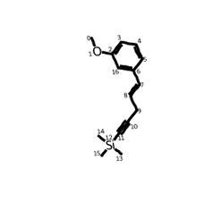 COc1cccc(C=CCC#C[Si](C)(C)C)c1